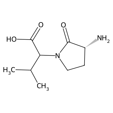 CC(C)C(C(=O)O)N1CC[C@@H](N)C1=O